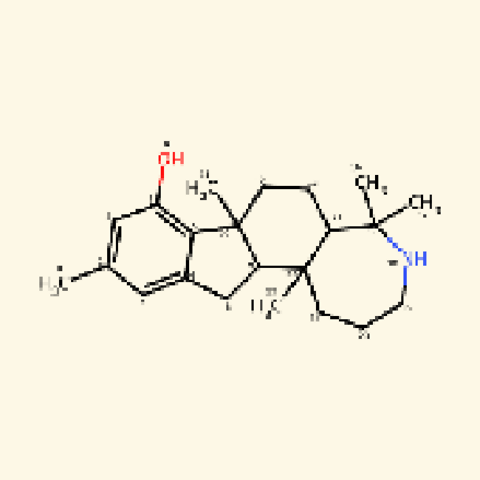 Cc1cc(O)c2c(c1)CC1C2(C)CCC2C(C)(C)NCCCC21C